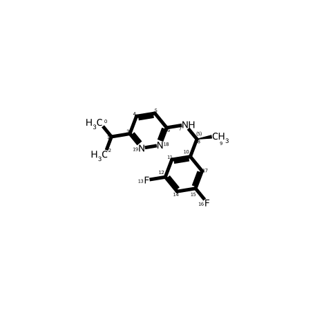 CC(C)c1ccc(N[C@@H](C)c2cc(F)cc(F)c2)nn1